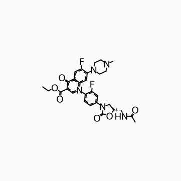 CCOC(=O)c1cn(-c2ccc(N3C[C@H](CNC(C)=O)OC3=O)cc2F)c2cc(N3CCN(C)CC3)c(F)cc2c1=O